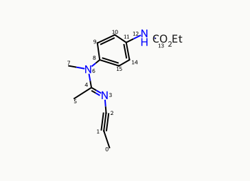 CC#CN=C(C)N(C)c1ccc(NC(=O)OCC)cc1